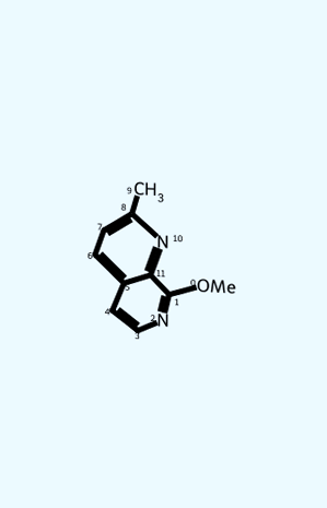 COc1nccc2ccc(C)nc12